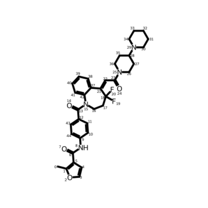 Cc1occc1C(=O)Nc1ccc(C(=O)N2CCC(F)(F)C(=CC(=O)N3CCC(N4CCCCC4)CC3)c3ccccc32)cc1